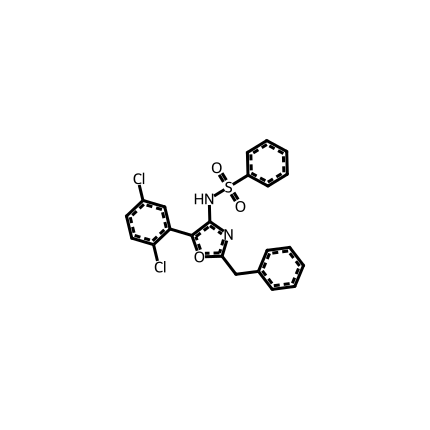 O=S(=O)(Nc1nc(Cc2ccccc2)oc1-c1cc(Cl)ccc1Cl)c1ccccc1